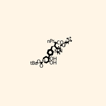 CCCC(C(=O)O)[C@H](Cc1ccc([C@@]2(O)CCN(C(=O)OC(C)(C)C)C[C@@H]2O)cc1)c1nnnn1COCC[Si](C)(C)C